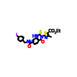 CCOC(=O)c1sc(-n2c(=S)[nH]c3cc(C(=O)NCc4ccc(I)cc4)ccc3c2=O)nc1C